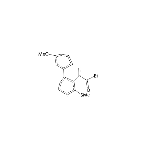 C=C(C(=O)CC)c1c(SC)[c]ccc1-c1cccc(OC)c1